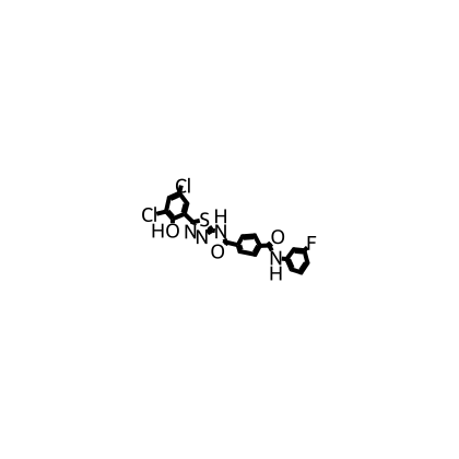 O=C(Nc1cccc(F)c1)c1ccc(C(=O)Nc2nnc(-c3cc(Cl)cc(Cl)c3O)s2)cc1